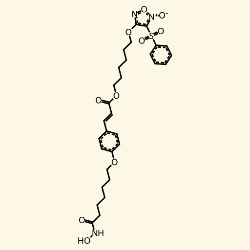 O=C(CCCCCCOc1ccc(C=CC(=O)OCCCCCCOc2no[n+]([O-])c2S(=O)(=O)c2ccccc2)cc1)NO